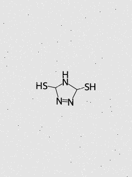 SC1N=NC(S)N1